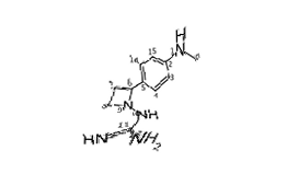 CNc1ccc(C2CCN2NC(=N)N)cc1